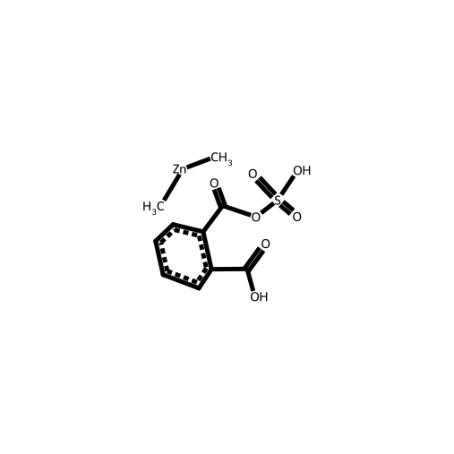 O=C(O)c1ccccc1C(=O)OS(=O)(=O)O.[CH3][Zn][CH3]